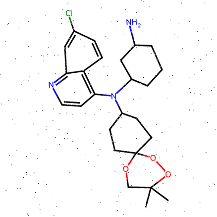 CC1(C)COC2(CCC(N(c3ccnc4cc(Cl)ccc34)C3CCCC(N)C3)CC2)OO1